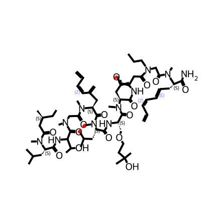 C=C/C=C\C=C\C[C@@H](C(N)=O)N(C)C(=O)CN(CCC)C(=O)CC(C=O)NC(=O)[C@H](CC(C)C)N(C)C(=O)[C@H](COCCC(C)(C)O)NC(=O)[C@H](CC(C)C)N(C)C(=O)[C@H](CC(=C)/C=C\C=C)N(C)C(=O)CN(C)C(=O)C(NC(=O)[C@H](CC(C)C)N(C)C(=O)C[C@@H](C)CC)C(C)O